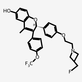 CC1=C(c2ccc(OC(F)(F)F)cc2)[C@@H](c2ccc(OCCN3CC(CF)C3)cc2)Oc2ccc(O)cc21